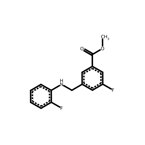 COC(=O)c1cc(F)cc(CNc2ccccc2F)c1